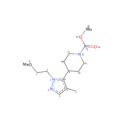 COCCn1ncc(C)c1C1CCN(C(=O)OC(C)(C)C)CC1